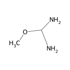 COC(N)N